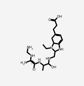 CCN1C(CNC(O)C(C)N/C(Cl)=C(/N)NCN)NC2=CC=C(CCC(=O)O)CC21